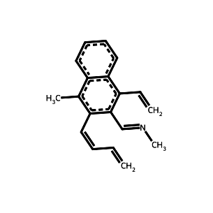 C=C/C=C\c1c(/C=N/C)c(C=C)c2ccccc2c1C